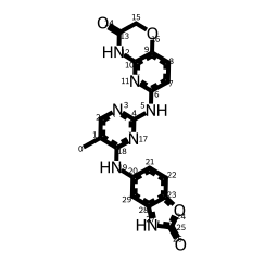 Cc1cnc(Nc2ccc3c(n2)NC(=O)CO3)nc1Nc1ccc2oc(=O)[nH]c2c1